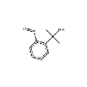 CC(C)(O)c1ccccc1P=O